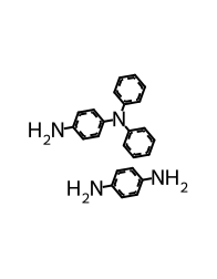 Nc1ccc(N(c2ccccc2)c2ccccc2)cc1.Nc1ccc(N)cc1